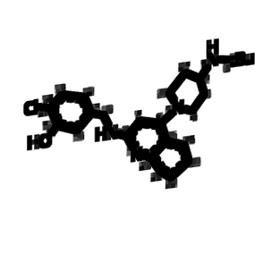 CC(C)(C)NC1CCN(c2cc(NCc3ccc(Cl)c(O)c3)nc3ccccc23)CC1